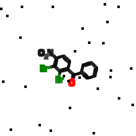 O=C(c1ccccc1)c1ccc([N+](=O)[O-])c(Br)c1Br